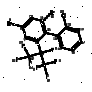 FC(F)(F)C(F)(c1cc(Br)[c]c(Br)c1-c1cccnc1Cl)C(F)(F)F